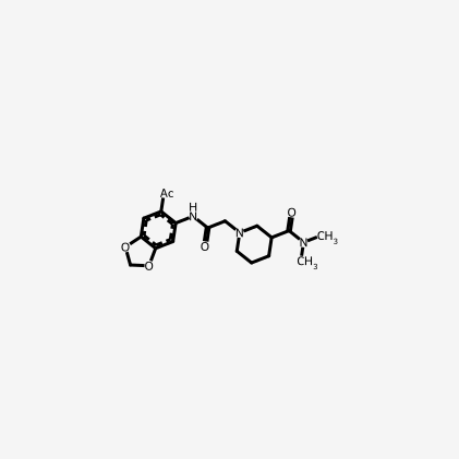 CC(=O)c1cc2c(cc1NC(=O)CN1CCCC(C(=O)N(C)C)C1)OCO2